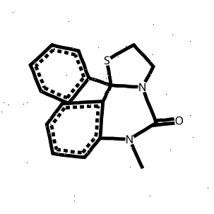 CN1C(=O)N2CCSC2(c2ccccc2)c2ccccc21